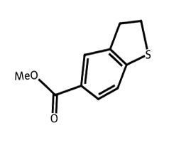 COC(=O)c1ccc2c(c1)CCS2